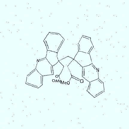 COC(=O)CC1(CC2(CC(=O)OC)c3ccccc3-c3nc4ccccc4cc32)c2ccccc2-c2nc3ccccc3cc21